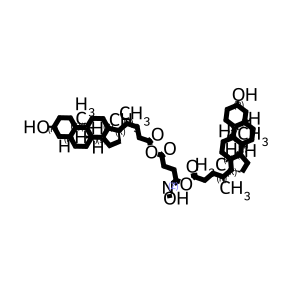 C[C@H](CCC(=O)OC(=O)CC/C(=N/O)OC(=O)CC[C@@H](C)[C@H]1CC[C@H]2[C@@H]3CC[C@@H]4C[C@H](O)CC[C@]4(C)[C@H]3CC[C@]12C)[C@H]1CC[C@H]2[C@@H]3CC[C@@H]4C[C@H](O)CC[C@]4(C)[C@H]3CC[C@]12C